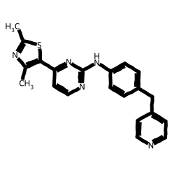 Cc1nc(C)c(-c2ccnc(Nc3ccc(Cc4ccncc4)cc3)n2)s1